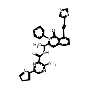 CC(NC(=O)c1nc(C2=CCC=N2)cnc1N)c1cc2cccc(C#Cc3cncs3)c2c(=O)n1-c1ccccc1